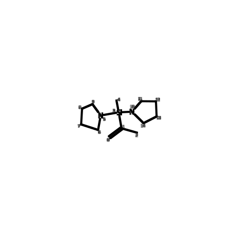 C=C(C)[Si](C)(N1CCCC1)N1CCCC1